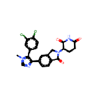 Cn1cnc(-c2ccc3c(c2)CN(C2CCC(=O)NC2=O)C3=O)c1-c1ccc(Cl)c(Cl)c1